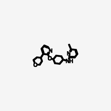 Cc1cccc(NC2CCC(Oc3ncccc3C3CCOCC3)CC2)n1